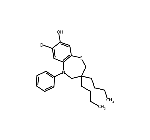 CCCCC1(CCCC)CSc2cc(O)c(Cl)cc2N(c2ccccc2)C1